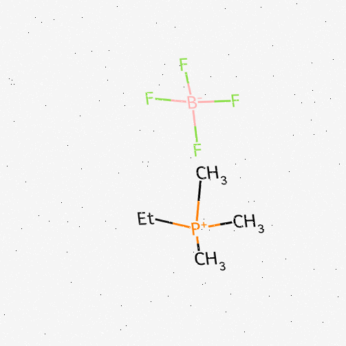 CC[P+](C)(C)C.F[B-](F)(F)F